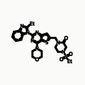 CCc1nc2ccccc2n1-c1nc(N2CCOCC2)c2sc(CN3CCN(S(=O)(=O)CC)CC3=O)cc2n1